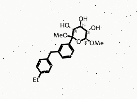 CCc1ccc(Cc2cccc(C3(OC)O[C@H](OC)[C@@H](O)[C@H](O)[C@H]3O)c2)cc1